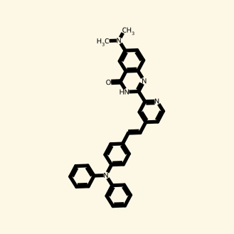 CN(C)c1ccc2nc(-c3cc(C=Cc4ccc(N(c5ccccc5)c5ccccc5)cc4)ccn3)[nH]c(=O)c2c1